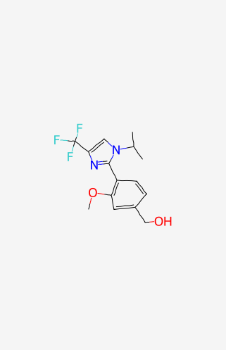 COc1cc(CO)ccc1-c1nc(C(F)(F)F)cn1C(C)C